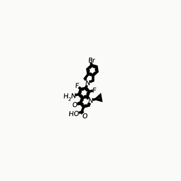 Nc1c(F)c(N2Cc3ccc(Br)cc3C2)c(F)c2c1c(=O)c(C(=O)O)cn2C1CC1